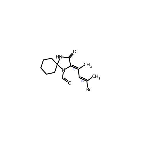 CC(/C=C(\C)Br)=C1\C(=O)NC2(CCCCC2)N1C=O